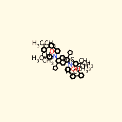 Cc1cc(C(C)(C)C)ccc1N(c1cccc(-c2cccc(-c3ccccc3C(C)C)c2)c1O)c1cc(C2CCCC2)c2ccc3c(N(c4ccc(C(C)(C)C)cc4)c4cccc5c4oc4c(-c6ccccc6C(C)C)cccc45)cc(C4CCCC4)c4ccc1c2c43